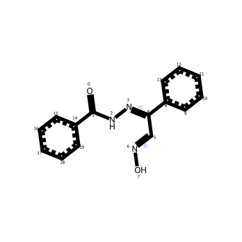 O=C(N/N=C(\C=N\O)c1ccccc1)c1ccccc1